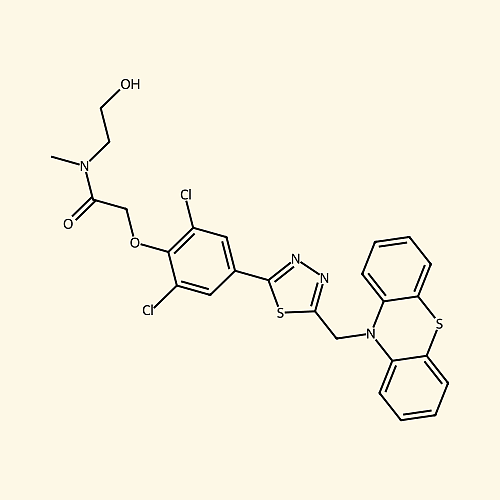 CN(CCO)C(=O)COc1c(Cl)cc(-c2nnc(CN3c4ccccc4Sc4ccccc43)s2)cc1Cl